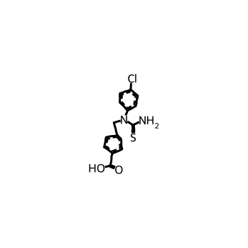 NC(=S)N(Cc1ccc(C(=O)O)cc1)c1ccc(Cl)cc1